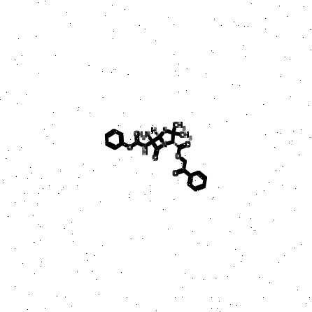 CC1(C)S[C@H]2N(C(=O)[C@]2(N)NC(=O)Oc2ccccc2)[C@H]1C(=O)OCC(=O)c1ccccc1